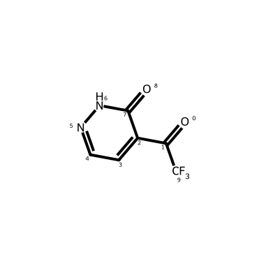 O=C(c1ccn[nH]c1=O)C(F)(F)F